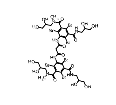 CN(CC(O)CO)C(=O)c1c(Br)c(NC(=O)CC(=O)Nc2c(Br)c(C(=O)NCC(O)CO)c(Br)c(C(=O)N(C)CC(O)CO)c2Br)c(Br)c(C(=O)NCC(O)CO)c1Br